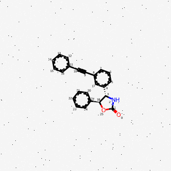 O=C1N[C@@H](c2cccc(C#Cc3ccccc3)c2)[C@H](c2ccccc2)O1